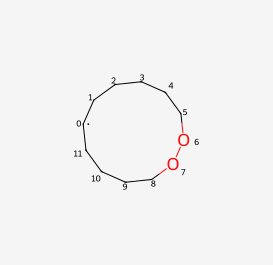 [CH]1CCCCCOOCCCC1